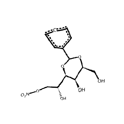 O=[N+]([O-])OC[C@@H](O)[C@H]1OC(c2ccccc2)O[C@@H](CO)[C@H]1O